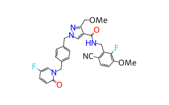 COCc1nn(Cc2ccc(Cn3cc(F)ccc3=O)cc2)cc1C(=O)NCc1c(C#N)ccc(OC)c1F